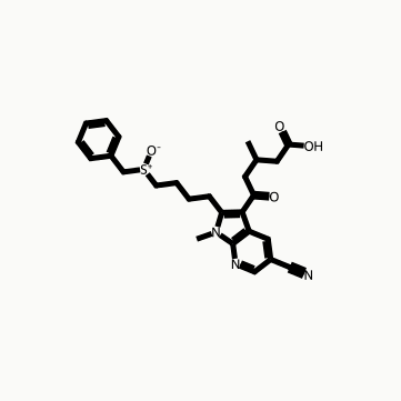 CC(CC(=O)O)CC(=O)c1c(CCCC[S+]([O-])Cc2ccccc2)n(C)c2ncc(C#N)cc12